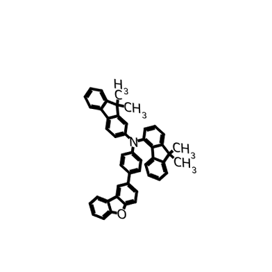 CC1(C)c2ccccc2-c2ccc(N(c3ccc(-c4ccc5oc6ccccc6c5c4)cc3)c3cccc4c3-c3ccccc3C4(C)C)cc21